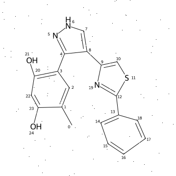 Cc1cc(-c2n[nH]cc2-c2csc(-c3ccccc3)n2)c(O)cc1O